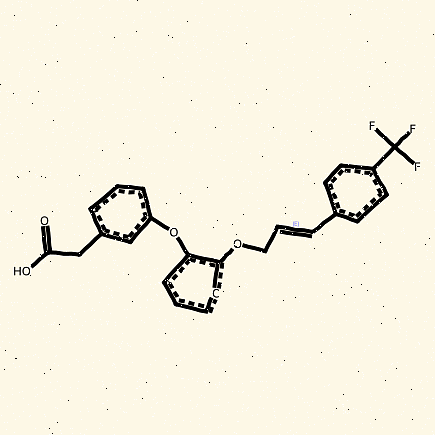 O=C(O)Cc1cccc(Oc2ccccc2OC/C=C/c2ccc(C(F)(F)F)cc2)c1